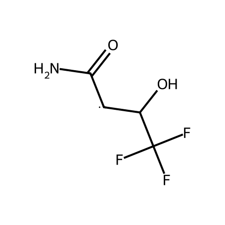 NC(=O)[CH]C(O)C(F)(F)F